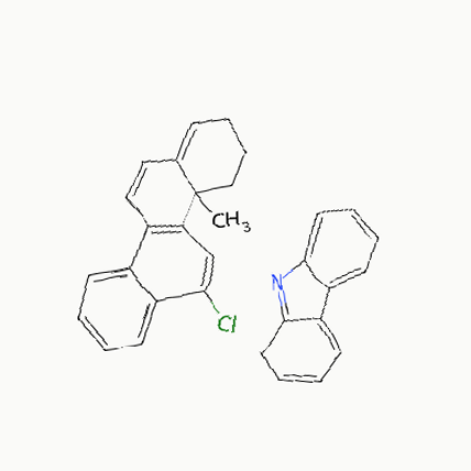 C1=CCC2=Nc3ccccc3C2=C1.CC12CCCC=C1C=Cc1c2cc(Cl)c2ccccc12